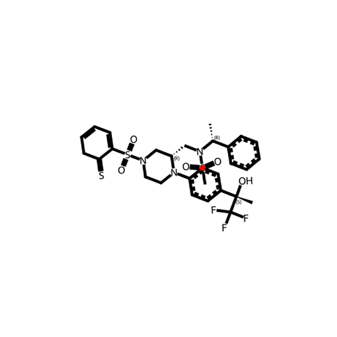 C[C@H](c1ccccc1)N(C[C@H]1CN(S(=O)(=O)C2=CC=CCC2=S)CCN1c1ccc([C@](C)(O)C(F)(F)F)cc1)S(C)(=O)=O